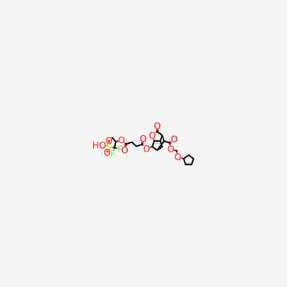 CC(OC(=O)CCC(=O)OC1C2CC3C1OC(=O)C3C2C(=O)OCOC1CCCC1)C(F)(F)S(=O)(=O)O